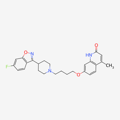 Cc1cc(=O)[nH]c2cc(OCCCCN3CCC(c4noc5cc(F)ccc45)CC3)ccc12